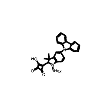 CCCCCCN1c2ccc(-n3c4ccccc4c4ccccc43)cc2C(C)(C)C1c1c(O)c(=O)c1=O